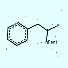 [CH2]C[C](CCCCC)Cc1ccccc1